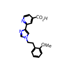 COc1ccccc1CCn1cnc(-c2cc(C(=O)O)ccn2)c1